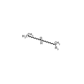 CC(C)CCCCCCCCCCNC(=O)CCCCCCCCCC(C)C